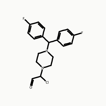 O=CC(Cl)N1CCN(C(c2ccc(F)cc2)c2ccc(F)cc2)CC1